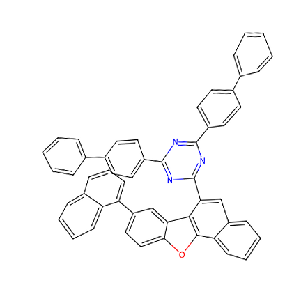 c1ccc(-c2ccc(-c3nc(-c4ccc(-c5ccccc5)cc4)nc(-c4cc5ccccc5c5oc6ccc(-c7cccc8ccccc78)cc6c45)n3)cc2)cc1